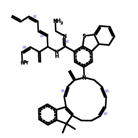 C=C/C=C\C=C\C(N/C(=N\CN)c1cc(N2C/C=C\C=C/CCC3=C(/C=C\C2=C)c2ccccc2C3(C)C)cc2c1SC1=CC=CCC12)C(=C)/C=C\CCC